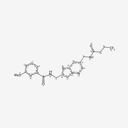 COc1nccc(C(=O)NCc2cn3ncc(CNC(=O)CCC(F)(F)F)cc3n2)n1